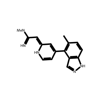 CNC(=N)/C=C1/C=C(c2c(C)ccc3[nH]ncc23)C=CN1